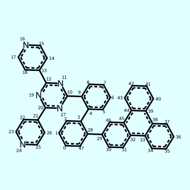 c1ccc(-c2ccccc2-c2nc(-c3ccncc3)nc(-c3ccncc3)n2)c(-c2ccc3c4ccccc4c4ccccc4c3c2)c1